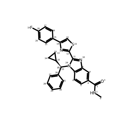 CNC(=O)c1ccc2c(c1)nc(-c1nc(-c3ccc(F)cc3)cs1)n2[C@@H](c1ccccc1)C1CC1